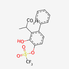 CC(C(=O)O)c1c(-c2ccccc2)ccc(OS(=O)(=O)C(F)(F)F)c1O